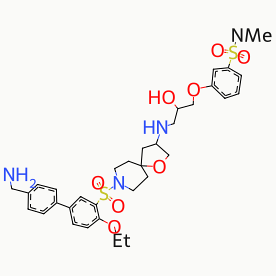 CCOc1ccc(-c2ccc(CN)cc2)cc1S(=O)(=O)N1CCC2(CC1)CC(NCC(O)COc1cccc(S(=O)(=O)NC)c1)CO2